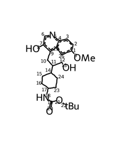 COc1ccc2ncc(O)c(CC(CO)C3CCC(NC(=O)OC(C)(C)C)CC3)c2c1